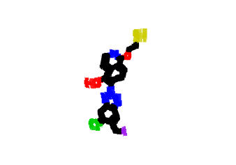 Oc1c(-n2nc3c(n2)CC(Cl)C(CI)=C3)ccc2c(OCCS)nccc12